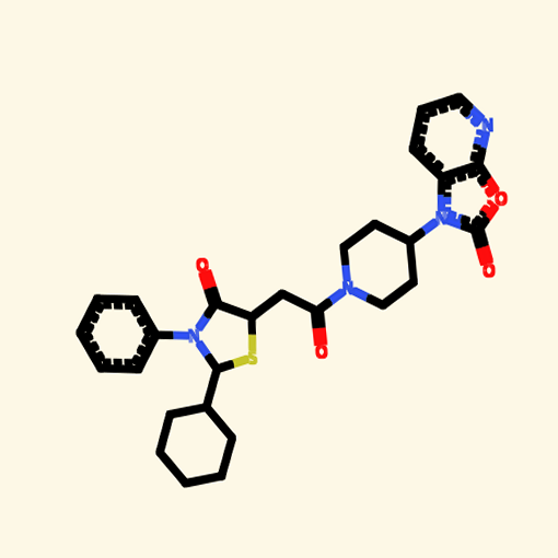 O=C(CC1SC(C2CCCCC2)N(c2ccccc2)C1=O)N1CCC(n2c(=O)oc3ncccc32)CC1